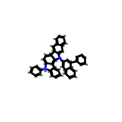 c1ccc(-c2cc(-n3c4cc5ccccc5cc4c4ccc5c(c6ccccc6n5-c5ccccc5)c43)cc3ccccc23)cc1